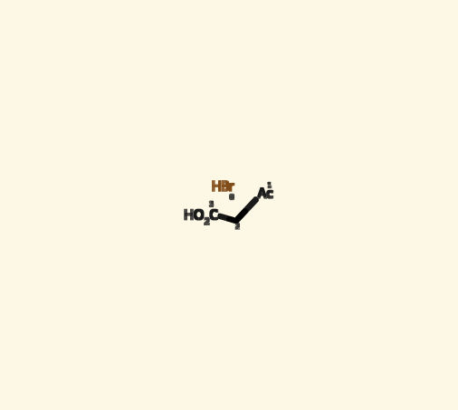 Br.CC(=O)CC(=O)O